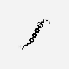 CCCCCC1CCC(c2ccc(-c3ccc(C4CN=C(CCC)OC4)cc3)cc2)CC1